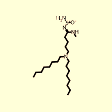 CCCCCCCCN(CCCCCCCC)CCCC/C(=N/[S+](N)[O-])NC